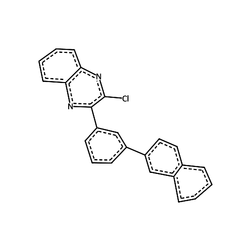 Clc1nc2ccccc2nc1-c1cccc(-c2ccc3ccccc3c2)c1